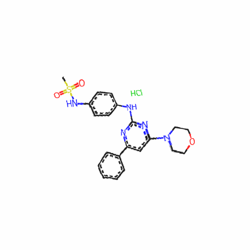 CS(=O)(=O)Nc1ccc(Nc2nc(-c3ccccc3)cc(N3CCOCC3)n2)cc1.Cl